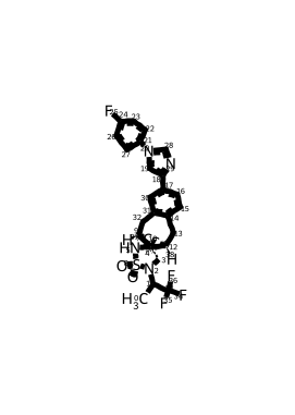 CC(N1C[C@]2(NS1(=O)=O)[C@@H]1CC[C@H]2Cc2ccc(-c3cn(-c4ccc(F)cc4)cn3)cc2C1)C(F)(F)F